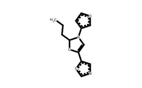 CCCC1OC(c2cncs2)=[C]N1c1ccoc1